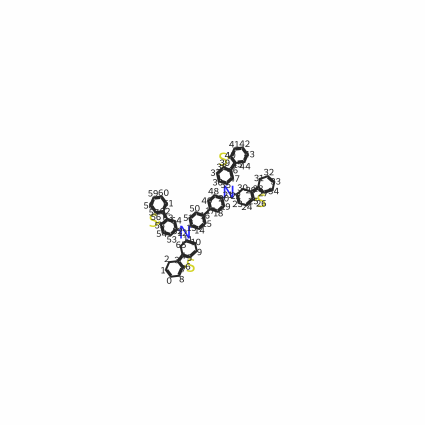 C1=CCc2c3c(sc2=C1)=CC=C(N(c1ccc(-c2ccc(N(C4=CC=c5sc6c(c5C4)CC=CC=6)c4ccc5sc6ccccc6c5c4)cc2)cc1)c1ccc2sc4ccccc4c2c1)C3